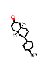 CCCC1CCC(C2CC[C@@H]3CC(=O)CC[C@H]3C2)CC1